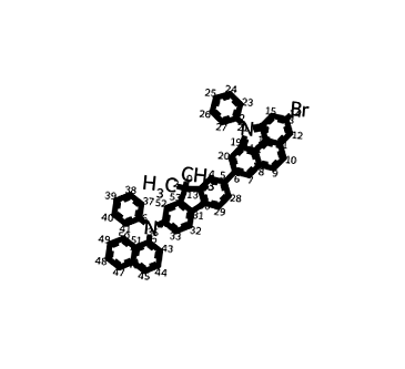 CC1(C)c2cc(-c3cc4ccc5cc(Br)cc6c5c4c(c3)n6-c3ccccc3)ccc2-c2ccc(N(c3ccccc3)c3cccc4ccccc34)cc21